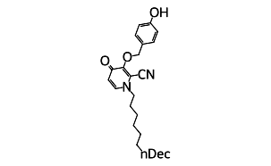 CCCCCCCCCCCCCCCCn1ccc(=O)c(OCc2ccc(O)cc2)c1C#N